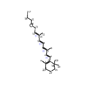 CC1=C(/C=C/C(C)=C/C=C/C(C)=C/COCCI)C(C)(C)CCC1